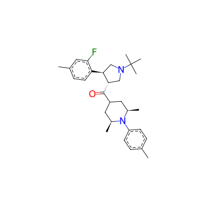 Cc1ccc(N2[C@H](C)CC(C(=O)[C@H]3CN(C(C)(C)C)C[C@@H]3c3ccc(C)cc3F)C[C@@H]2C)cc1